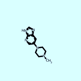 CN1CCN(c2cnc3[nH]cnc3c2)CC1